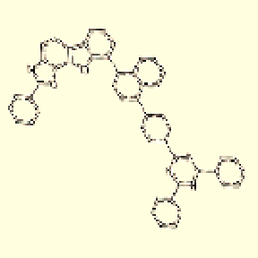 c1ccc(-c2nc(-c3ccccc3)nc(-c3ccc(-c4ccc(-c5cccc6c5oc5c6ccc6nc(-c7ccccc7)oc65)c5ccccc45)cc3)n2)cc1